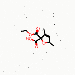 CCOC(=O)C1(C(=O)O)OC(C)C=C1C